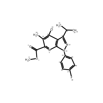 COC(=O)c1nc2c(c(C(C)C)nn2-c2ccc(F)cc2)c(Cl)c1C